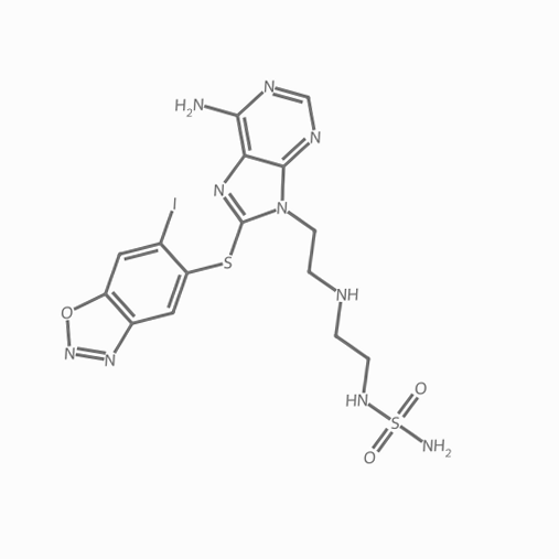 Nc1ncnc2c1nc(Sc1cc3nnoc3cc1I)n2CCNCCNS(N)(=O)=O